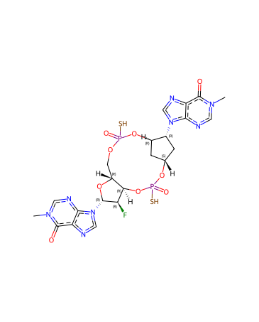 Cn1cnc2c(ncn2[C@@H]2C[C@H]3C[C@H]2OP(=O)(S)OC[C@H]2O[C@@H](n4cnc5c(=O)n(C)cnc54)[C@H](F)[C@@H]2OP(=O)(S)O3)c1=O